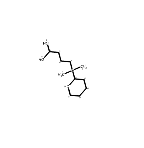 C[Si](C)(CCCC(O)O)C1CCCCO1